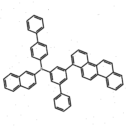 c1ccc(-c2ccc(N(c3cc(-c4ccccc4)cc(-c4cccc5c4ccc4c6ccccc6ccc54)c3)c3ccc4ccccc4c3)cc2)cc1